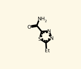 CCc1nnc(C(N)=O)s1